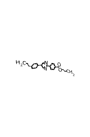 C=CCOC(=O)c1ccc(-c2ncc(-c3ccc(CC=C)cc3)cn2)cc1